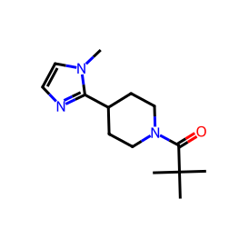 Cn1ccnc1C1CCN(C(=O)C(C)(C)C)CC1